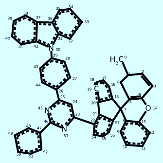 CC1C=CC2=C(C1)C1(c3ccccc3O2)c2ccccc2-c2c(-c3cc(-c4ccc(-n5c6ccccc6c6ccccc65)cc4)nc(-c4ccccc4)n3)cccc21